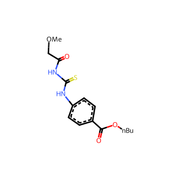 CCCCOC(=O)c1ccc(NC(=S)NC(=O)COC)cc1